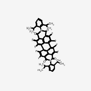 CC(C)c1cccc(C(C)C)c1N1C(=O)c2c(F)c(F)c3c4c(F)c(F)c5c6c(c(F)c(F)c(c7c(F)c(F)c(c2c37)C1=O)c64)C(=O)N(c1c(C(C)C)cccc1C(C)C)C5=O